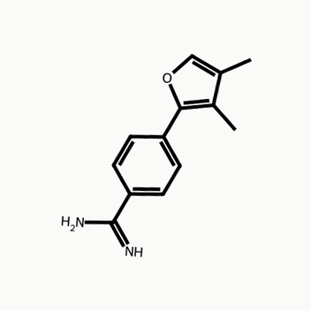 Cc1coc(-c2ccc(C(=N)N)cc2)c1C